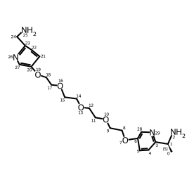 C[C@H](N)c1ccc(OCCOCCOCCOCCOc2ccc(CN)nc2)cn1